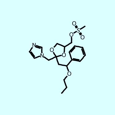 CCCOC(CC1(Cn2ccnc2)OCC(COS(C)(=O)=O)O1)c1ccccc1